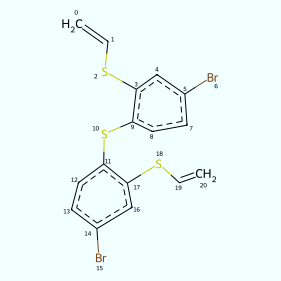 C=CSc1cc(Br)ccc1Sc1ccc(Br)cc1SC=C